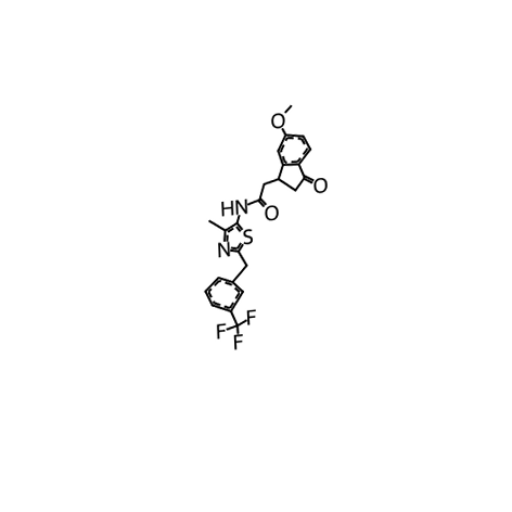 COc1ccc2c(c1)C(CC(=O)Nc1sc(Cc3cccc(C(F)(F)F)c3)nc1C)CC2=O